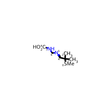 CSC(C)(C)C=NCNC(=O)O